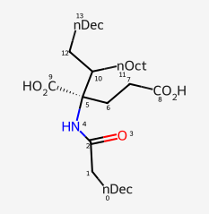 CCCCCCCCCCCC(=O)N[C@@](CCC(=O)O)(C(=O)O)C(CCCCCCCC)CCCCCCCCCCC